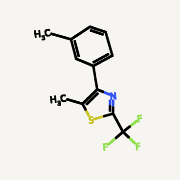 Cc1cccc(-c2nc(C(F)(F)F)sc2C)c1